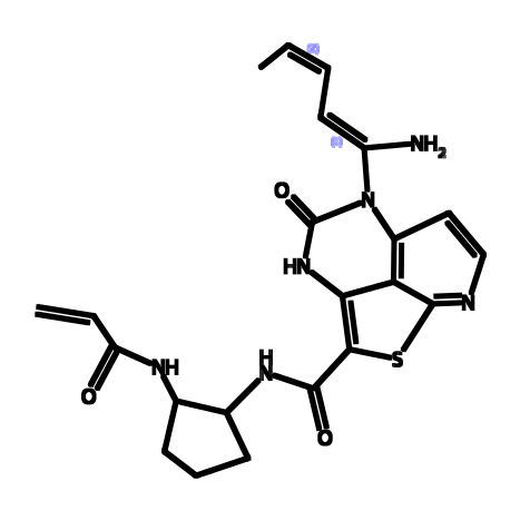 C=CC(=O)NC1CCCC1NC(=O)c1sc2nccc3c2c1NC(=O)N3/C(N)=C/C=C\C